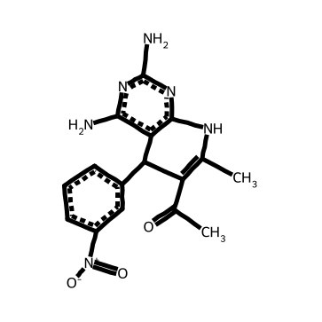 CC(=O)C1=C(C)Nc2nc(N)nc(N)c2C1c1cccc([N+](=O)[O-])c1